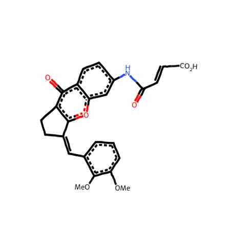 COc1cccc(/C=C2/CCc3c2oc2cc(NC(=O)/C=C/C(=O)O)ccc2c3=O)c1OC